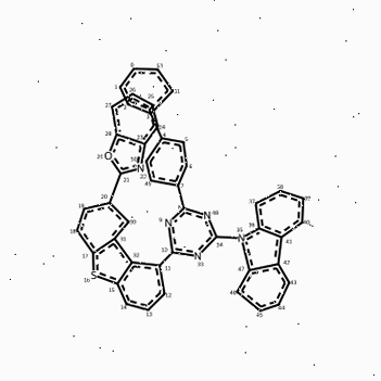 c1ccc(-c2ccc(-c3nc(-c4cccc5sc6ccc(-c7nc8ccccc8o7)cc6c45)nc(-n4c5ccccc5c5ccccc54)n3)cc2)cc1